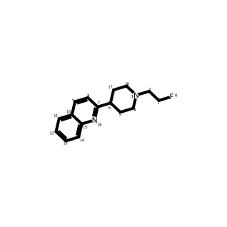 FCCN1CCC(c2ccc3ccccc3n2)CC1